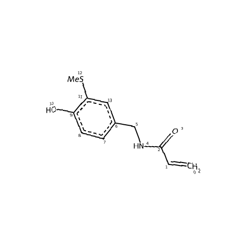 C=CC(=O)NCc1ccc(O)c(SC)c1